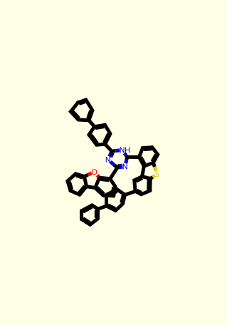 c1ccc(-c2ccc(C3=NC(c4cccc5c4oc4ccccc45)=NC(c4cccc5sc6ccc(-c7ccc(-c8ccccc8)cc7)cc6c45)N3)cc2)cc1